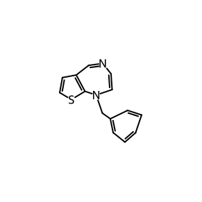 C1=CN(Cc2ccccc2)c2sccc2C=N1